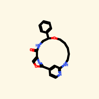 O=C1NCC(c2ccccc2)OCCCCCNc2cc(ccn2)-c2nc1co2